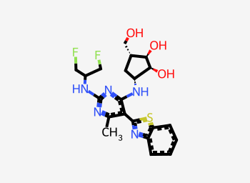 Cc1nc(NC(CF)CF)nc(N[C@@H]2C[C@H](CO)[C@@H](O)[C@H]2O)c1-c1nc2ccccc2s1